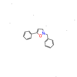 C1=C(c2ccccc2)ON(Cc2ccccc2)C1